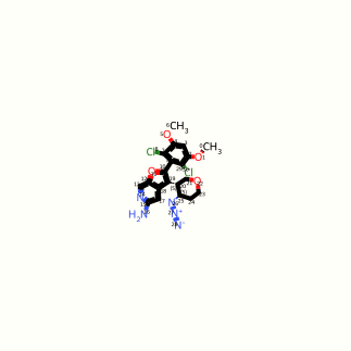 COc1cc(OC)c(Cl)c(-c2oc3cnc(N)cc3c2[C@@H]2COCC[C@@H]2N=[N+]=[N-])c1Cl